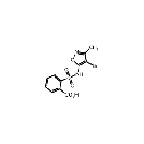 Cc1noc(NS(=O)(=O)c2ccccc2C(=O)O)c1Br